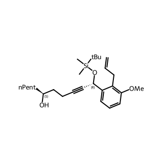 C=CCc1c(OC)cccc1[C@H](C#CCC[C@@H](O)CCCCC)O[Si](C)(C)C(C)(C)C